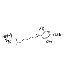 CCc1cc(OC)c(O)cc1OCCCCCC(C)Cc1nn[nH]n1